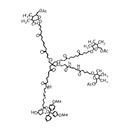 COc1ccc(C(OC[C@@H]2C[C@@H](O)CN2C(=O)CCCSSCCNC(=O)CCCCC(=O)CC(COCCC(=O)CCCCCC(=O)CCCCOC2OC(COC(C)=O)C(C)C(C)C2C)(COCCC(=O)CCCCCC(=O)CCCCOC2OC(COC(C)=O)C(C)C(C)C2C)COCCC(=O)NCCCNC(=O)CCCCOC2OC(COC(C)=O)C(C)C(C)C2C)(c2ccccc2)c2ccc(OC)cc2)cc1